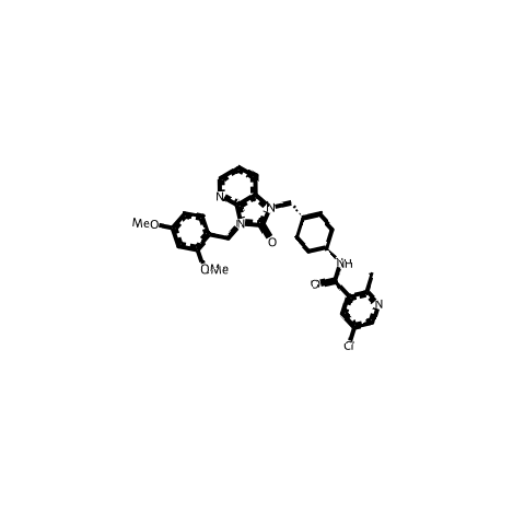 COc1ccc(Cn2c(=O)n(C[C@H]3CC[C@H](NC(=O)c4cc(Cl)cnc4C)CC3)c3cccnc32)c(OC)c1